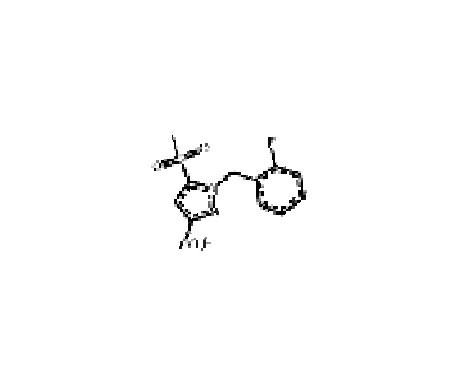 CS(=O)(=O)c1cc(C(=O)O)nn1Cc1ccccc1F